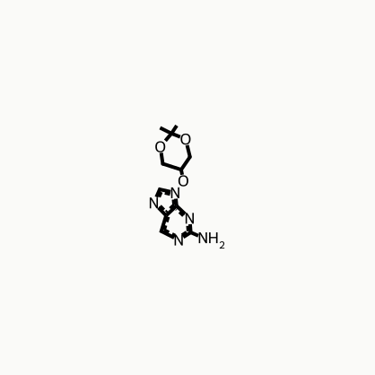 CC1(C)OCC(On2cnc3cnc(N)nc32)CO1